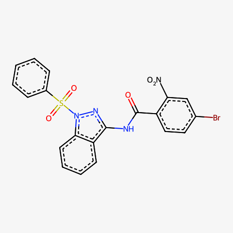 O=C(Nc1nn(S(=O)(=O)c2ccccc2)c2ccccc12)c1ccc(Br)cc1[N+](=O)[O-]